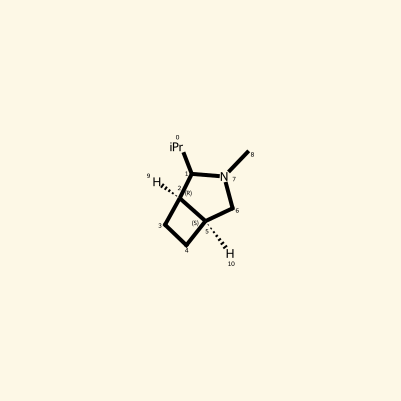 CC(C)C1[C@@H]2CC[C@@H]2CN1C